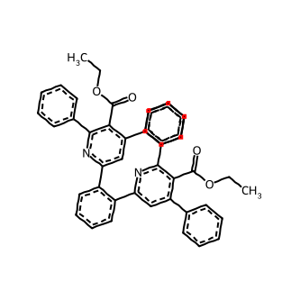 CCOC(=O)c1c(-c2ccccc2)cc(-c2ccccc2-c2cc(-c3ccccc3)c(C(=O)OCC)c(-c3ccccc3)n2)nc1-c1ccccc1